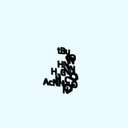 CC(=O)Nc1cc(Oc2ccc3nc(Nc4cc(C(C)(C)C)on4)n(C)c3c2C)ccn1